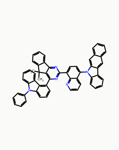 CC1(C)c2ccccc2-c2nc(-c3ccc(-n4c5ccccc5c5cc6ccccc6cc54)c4cccnc34)nc(-c3cccc4c3c3ccccc3n4-c3ccccc3)c21